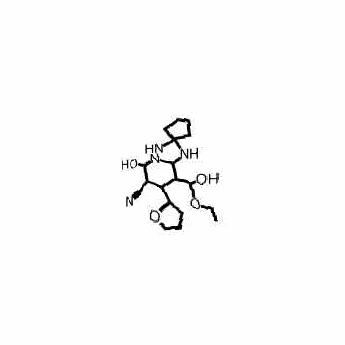 CCOC(O)C1C(C2CCCO2)C(C#N)C(O)N2NC3(CCCC3)NC12